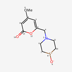 COc1cc(CN2CC[S+]([O-])CC2)oc(=O)c1